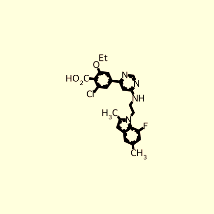 CCOc1cc(-c2cc(NCCn3c(C)cc4cc(C)cc(F)c43)ncn2)cc(Cl)c1C(=O)O